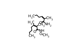 CCCC=C(C)C(N)=O.CCCCC(C)=C(C)C(=O)NOC